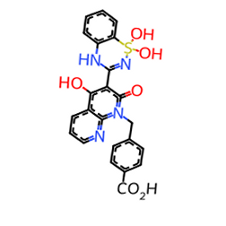 O=C(O)c1ccc(Cn2c(=O)c(C3=NS(O)(O)c4ccccc4N3)c(O)c3cccnc32)cc1